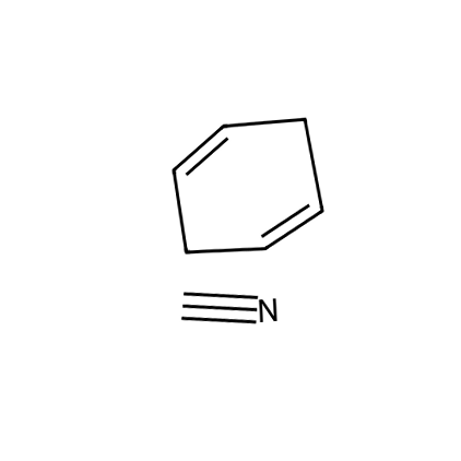 C#N.C1=CCC=CC1